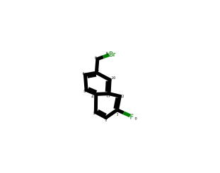 Fc1ccc2ccc(CBr)cc2c1